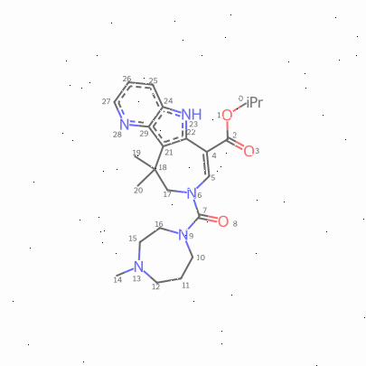 CC(C)OC(=O)C1=CN(C(=O)N2CCCN(C)CC2)CC(C)(C)c2c1[nH]c1cccnc21